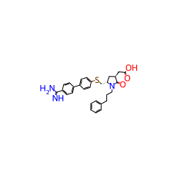 N=C(N)c1ccc(-c2ccc(SC[C@@H]3C[C@@H](CC(=O)O)C(=O)N3CCCc3ccccc3)cc2)cc1